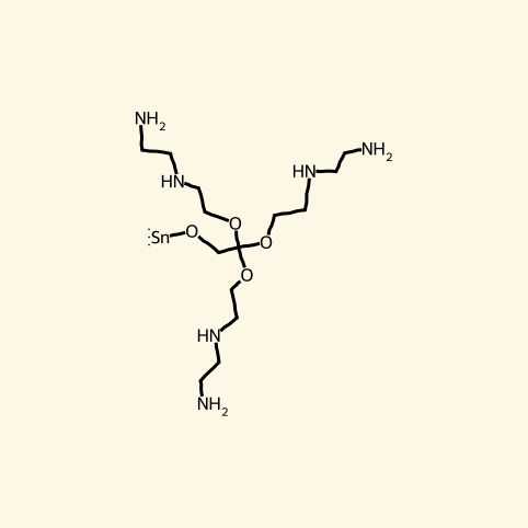 NCCNCCOC(C[O][Sn])(OCCNCCN)OCCNCCN